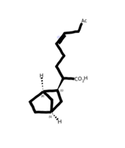 CC(=O)C/C=C\CCC(C(=O)O)[C@H]1C[C@H]2CC[C@@H]1C2